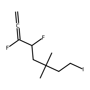 C=C=C(F)C(F)CC(C)(C)CCI